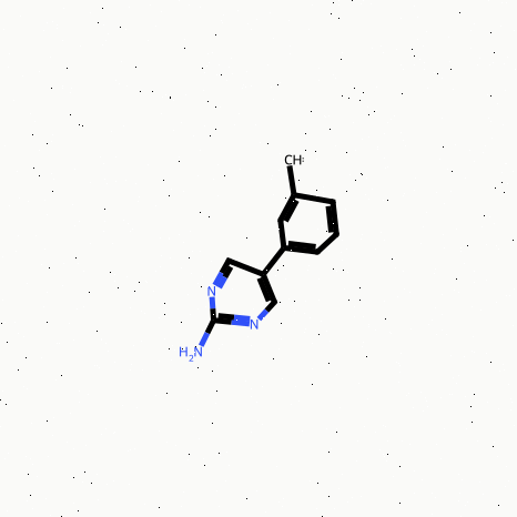 [CH]c1cccc(-c2cnc(N)nc2)c1